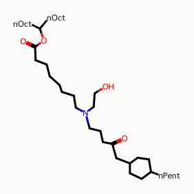 CCCCCCCCC(CCCCCCCC)OC(=O)CCCCCCCN(CCO)CCCC(=O)CC1CCC(CCCCC)CC1